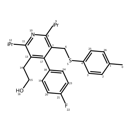 Cc1ccc(SCc2c(C(C)C)nc(C(C)C)c(CCO)c2-c2ccc(F)cc2)cc1